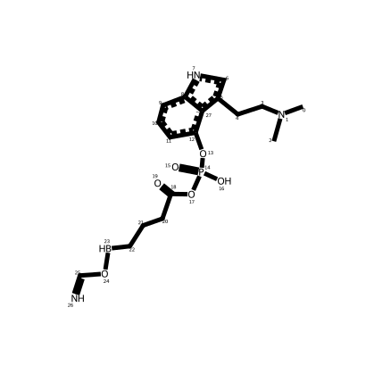 CN(C)CCc1c[nH]c2cccc(OP(=O)(O)OC(=O)CCCBOC=N)c12